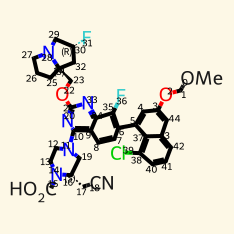 COCOc1cc(-c2ccc3c(N4CCN(C(=O)O)[C@@H](CC#N)C4)nc(OC[C@@]45CCCN4C[C@H](F)C5)nc3c2F)c2c(Cl)cccc2c1